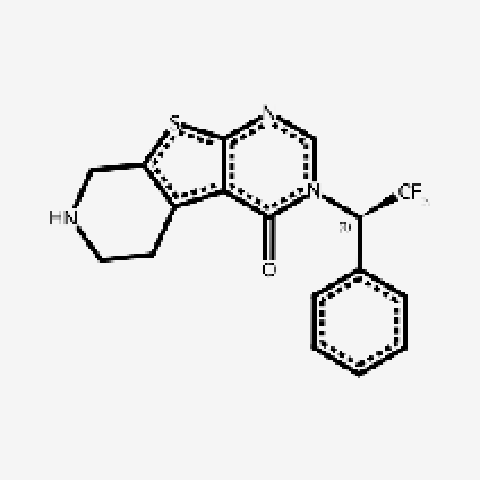 O=c1c2c3c(sc2ncn1[C@H](c1ccccc1)C(F)(F)F)CNCC3